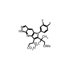 COCC(C)(C)c1c([C@H](F)CC(=O)O)c2nc3[nH]ncc3cc2n1-c1ccc(F)c(F)c1